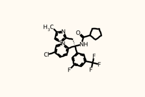 Cc1csc(C[C@](NC(=O)C2CCCC2)(c2cc(F)cc(C(F)(F)F)c2)c2ccc(Cl)cn2)n1